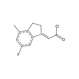 Cc1cc(F)cc2c1CC/C2=C\C(=O)Cl